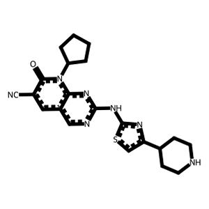 N#Cc1cc2cnc(Nc3nc(C4CCNCC4)cs3)nc2n(C2CCCC2)c1=O